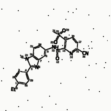 CCc1ccc(-c2nc3cc(NC(=O)c4nc(C#N)ccc4S(C)(=O)=O)ccc3n2C)cc1